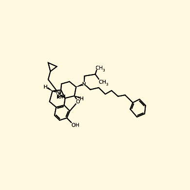 CC(C)CN(CCCCCCc1ccccc1)[C@@H]1CC[C@@]2(O)[C@H]3Cc4ccc(O)c5c4[C@@]2(CCN3CC2CC2)[C@H]1O5